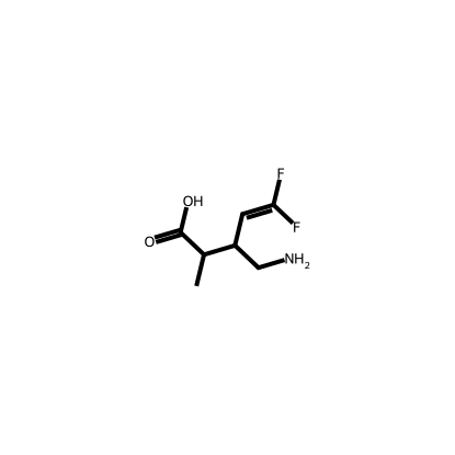 CC(C(=O)O)C(C=C(F)F)CN